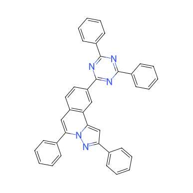 c1ccc(-c2cc3c4cc(-c5nc(-c6ccccc6)nc(-c6ccccc6)n5)ccc4cc(-c4ccccc4)n3n2)cc1